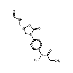 CCC(=O)N(C)c1ccc(N2C[C@H](CNC=O)OC2=O)cc1